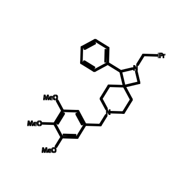 COc1cc(CN2CCC3(CC2)CN(CC(C)C)C3c2ccccc2)cc(OC)c1OC